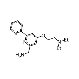 CCN(CC)CCOc1cc(CN)nc(-c2ccccn2)c1